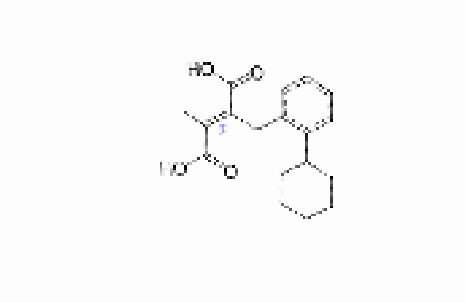 C/C(C(=O)O)=C(/Cc1ccccc1C1CCCCC1)C(=O)O